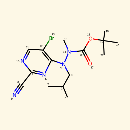 CC(C)CN(c1nc(C#N)ncc1Br)N(C)C(=O)OC(C)(C)C